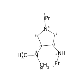 CCNC1CN(C(C)C)CC1N(C)C